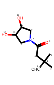 CC(C)([C]=O)CC(=O)N1CC(O)C(O)C1